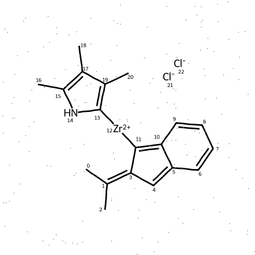 CC(C)=C1C=c2ccccc2=[C]1[Zr+2][c]1[nH]c(C)c(C)c1C.[Cl-].[Cl-]